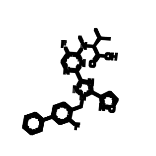 CC(C)[C@@H](C(=O)O)N(C)c1nc(-c2nc(-c3ccon3)n(Cc3ccc(-c4ccccc4)cc3F)n2)ncc1F